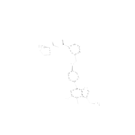 N#CCc1coc2c(-c3ccc(OCc4cccc(C(=O)OC(=O)[C@@H]5CCCN5)c4)cc3)cc(F)c(F)c12